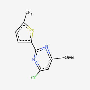 COc1cc(Cl)nc(-c2ccc(C(F)(F)F)s2)n1